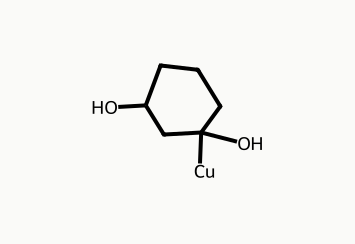 OC1CCC[C](O)([Cu])C1